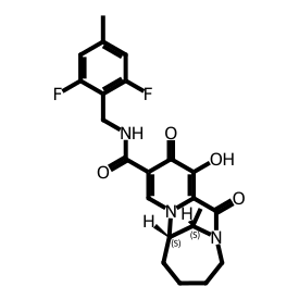 Cc1cc(F)c(CNC(=O)c2cn3c(c(O)c2=O)C(=O)N2CCCC[C@H]3[C@@H]2C)c(F)c1